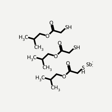 CC(C)COC(=O)CS.CC(C)COC(=O)CS.CC(C)COC(=O)CS.[Sb]